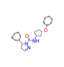 O=C(N[C@H]1CC[C@H](Oc2ccccc2)C1)N1N=CCC1c1ccccc1